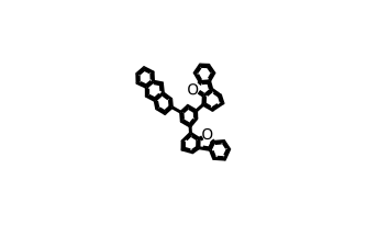 c1ccc2cc3cc(-c4cc(-c5cccc6c5oc5ccccc56)cc(-c5cccc6c5oc5ccccc56)c4)ccc3cc2c1